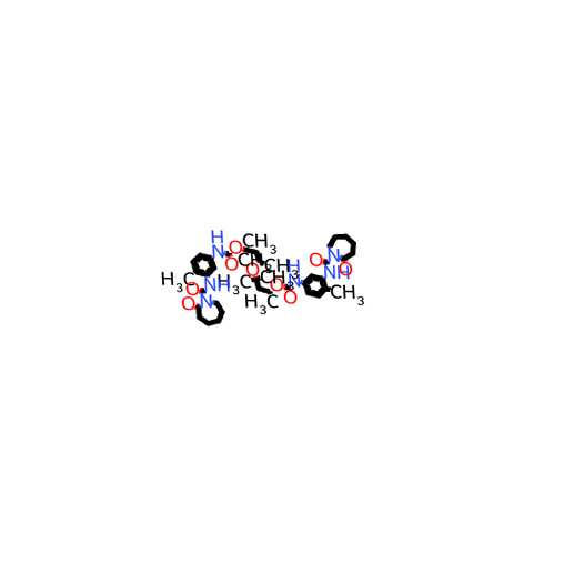 Cc1ccc(NC(=O)OC(C)CC(C)(C)OC(C)CC(C)(C)OC(=O)Nc2ccc(C)c(NC(=O)N3CCCCCC3=O)c2)cc1NC(=O)N1CCCCCC1=O